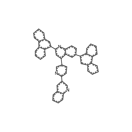 c1ccc2ncc(-c3ccc(-c4cc(-c5cc6ccccc6c6ccccc56)nc5ccc(-c6cc7ccccc7c7ccccc67)cc45)cn3)cc2c1